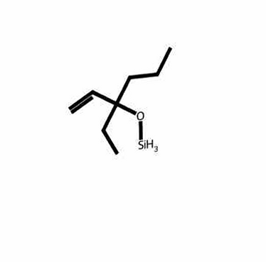 C=CC(CC)(CCC)O[SiH3]